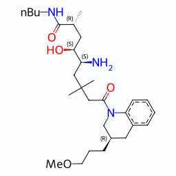 CCCCNC(=O)[C@H](C)C[C@H](O)[C@@H](N)CC(C)(C)CC(=O)N1C[C@H](CCCOC)Cc2ccccc21